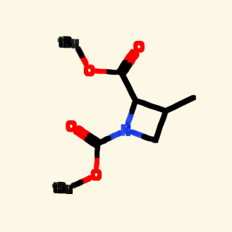 CC1CN(C(=O)OC(C)(C)C)C1C(=O)OC(C)(C)C